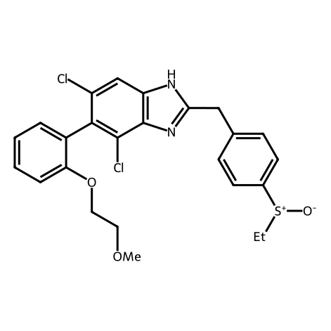 CC[S+]([O-])c1ccc(Cc2nc3c(Cl)c(-c4ccccc4OCCOC)c(Cl)cc3[nH]2)cc1